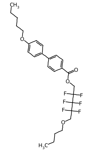 CCCCCOc1ccc(-c2ccc(C(=O)OCC(F)(F)C(F)(F)C(F)(F)COCCCC)cc2)cc1